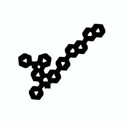 c1ccc(-c2nc3ccc(-c4ccc(-c5ccc6cc(-c7ccc8ccccc8c7)ccc6c5)cc4)cc3c3c2ccc2c3c3ccccc3n2-c2ccccc2)cc1